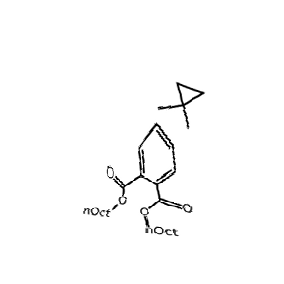 CC1(C)CC1.CCCCCCCCOC(=O)c1ccccc1C(=O)OCCCCCCCC